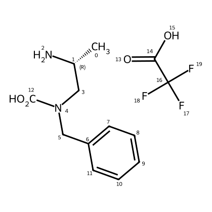 C[C@@H](N)CN(Cc1ccccc1)C(=O)O.O=C(O)C(F)(F)F